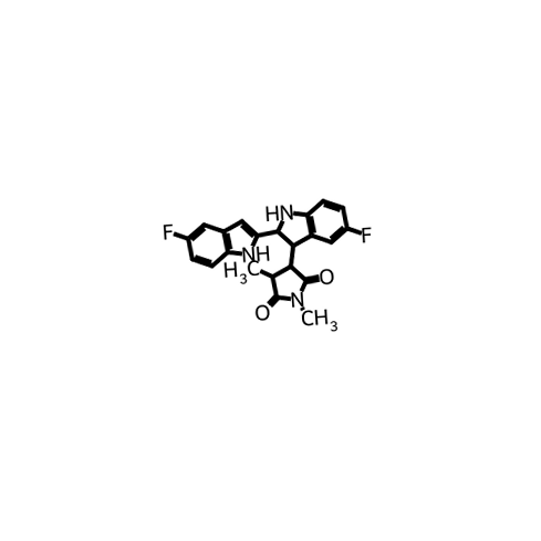 CC1C(=O)N(C)C(=O)C1C1c2cc(F)ccc2NC1c1cc2cc(F)ccc2[nH]1